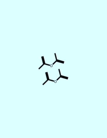 C=C(C)OC(=C)C.C=C(C)OC(=C)C